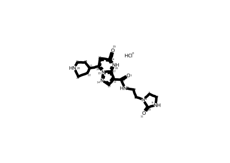 Cl.O=C(NCCN1CCNC1=O)c1cnn2c(C3CCNCC3)cc(=O)[nH]c12